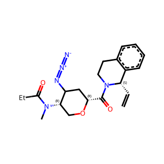 C=C[C@H]1c2ccccc2CCN1C(=O)[C@H]1CC(N=[N+]=[N-])[C@@H](N(C)C(=O)CC)CO1